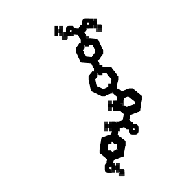 Cc1ccc(NC(=O)C2=CC=CC(N3CCCN(C4CCN(C(C)C)CC4)CC3)N2)cc1